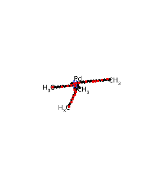 CCCCCCCCCCCCC=Cc1ccc(N=C(C=CCCCCCCCCCCCCCCCCCCCCCCCC)C(CCCC)=Nc2ccc(C=CCCCCCCCCCCCC)cc2)cc1.[Pd]